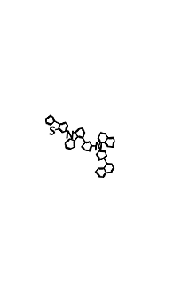 c1cc(-c2cccc3c2c2ccccc2n3-c2ccc3c(c2)sc2ccccc23)cc(N(c2ccc(-c3cccc4ccccc34)cc2)c2cccc3ccccc23)c1